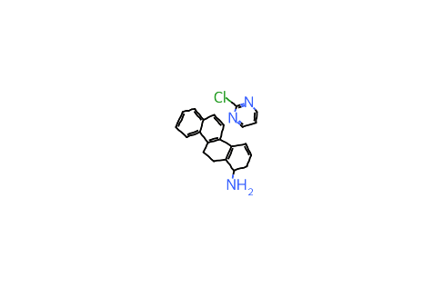 Clc1ncccn1.NC1CC=CC2=C1CCc1c2ccc2ccccc12